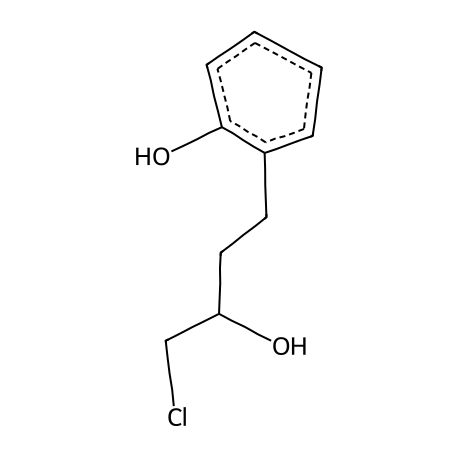 Oc1ccccc1CCC(O)CCl